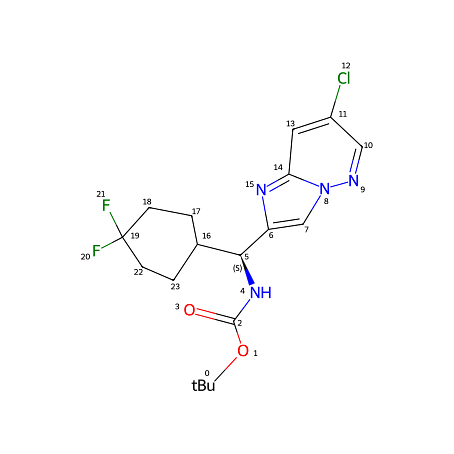 CC(C)(C)OC(=O)N[C@H](c1cn2ncc(Cl)cc2n1)C1CCC(F)(F)CC1